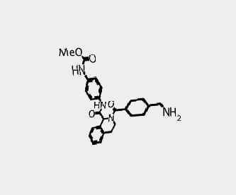 COC(=O)Nc1ccc(NC(=O)C2c3ccccc3CCN2C(=O)C2CCC(CN)CC2)cc1